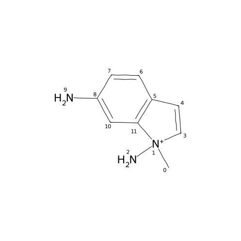 C[N+]1(N)C=Cc2ccc(N)cc21